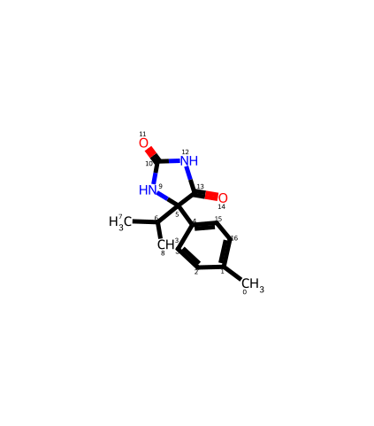 Cc1ccc(C2(C(C)C)NC(=O)NC2=O)cc1